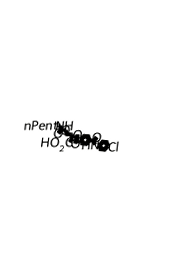 CCCCCNC(=O)OCCC(C(=O)O)S(=O)(=O)c1ccc(C(=O)Nc2ccc(Cl)cc2)cc1